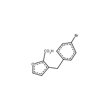 O=C(O)c1occc1Cc1ccc(Br)cc1